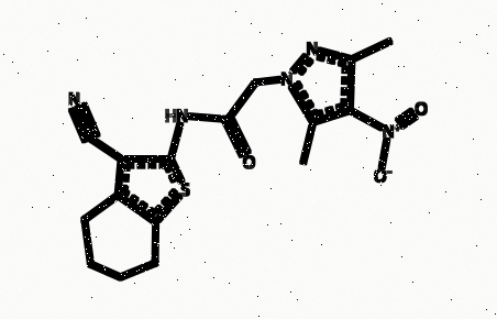 Cc1nn(CC(=O)Nc2sc3c(c2C#N)CCCC3)c(C)c1[N+](=O)[O-]